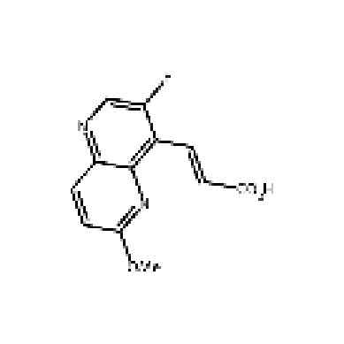 COc1ccc2ncc(F)c(C=CC(=O)O)c2n1